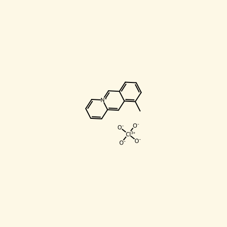 Cc1cccc2c[n+]3ccccc3cc12.[O-][Cl+3]([O-])([O-])[O-]